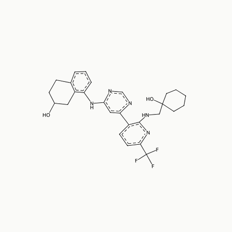 OC1CCc2cccc(Nc3cc(-c4ccc(C(F)(F)F)nc4NCC4(O)CCCCC4)ncn3)c2C1